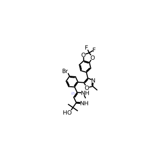 CN/C(=C\C(=N)C(C)(C)O)c1ccc(Br)cc1-c1oc(C)nc1-c1ccc2c(c1)OC(F)(F)O2